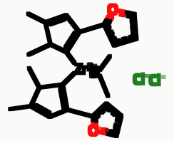 CC1=CC(c2ccco2)=[C]([Zr+2]([C]2=C(c3ccco3)C=C(C)C2C)=[Si](C)C)C1C.[Cl-].[Cl-]